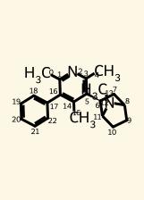 Cc1nc(C)c([C@H]2CC3CCC2N3C)c(C)c1-c1ccccc1